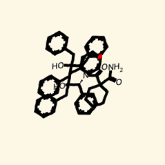 NC(=O)C1(C(=O)N([C@H](c2ccccc2)C(O)(Cc2ccccc2)Cc2ccccc2)[C@H](c2ccccc2)C(O)(Cc2ccccc2)Cc2ccccc2)CCCCC1